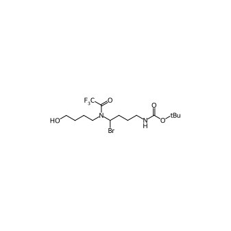 CC(C)(C)OC(=O)NCCCC(Br)N(CCCCO)C(=O)C(F)(F)F